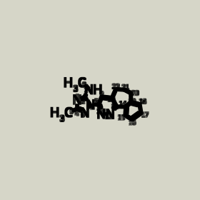 CNc1nc(C)nn1-c1cc2c(nn1)-c1ccccc1CCC2